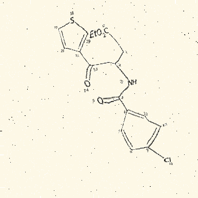 CCOC(=O)CC(NC(=O)c1ccc(Cl)cc1)C(=O)c1ccsc1